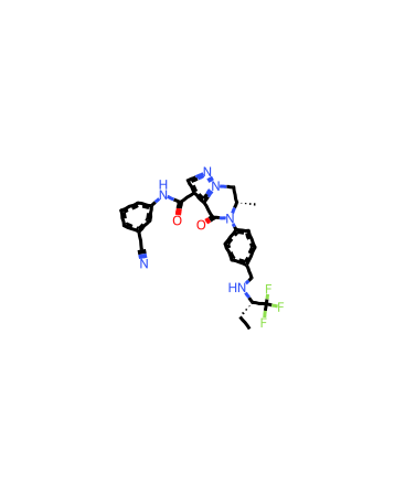 CC[C@H](NCc1ccc(N2C(=O)c3c(C(=O)Nc4cccc(C#N)c4)cnn3C[C@@H]2C)cc1)C(F)(F)F